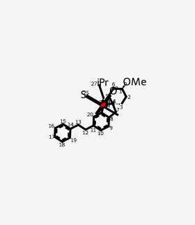 CO[C@H]1CC[C@]2(CC1)Cc1ccc(CCc3ccccc3)cc1C21NC(=S)N(C(C)C)C1=O